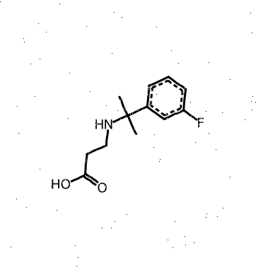 CC(C)(NCCC(=O)O)c1cccc(F)c1